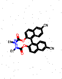 [CH2]CNC(=O)Oc1ccc2cc(C#N)ccc2c1-c1c(OC(=O)NC[CH2])ccc2cc(C#N)ccc12